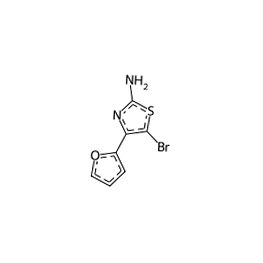 Nc1nc(-c2ccco2)c(Br)s1